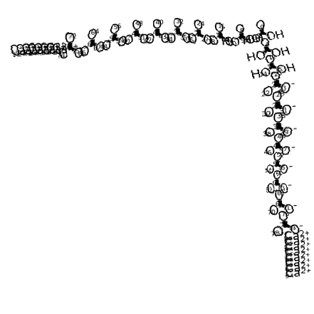 O=C(O)O.O=C(O)O.O=C(O)O.O=C(O)O.O=C([O-])[O-].O=C([O-])[O-].O=C([O-])[O-].O=C([O-])[O-].O=C([O-])[O-].O=C([O-])[O-].O=C([O-])[O-].O=C([O-])[O-].O=C([O-])[O-].O=C([O-])[O-].O=C([O-])[O-].O=C([O-])[O-].O=C([O-])[O-].O=C([O-])[O-].O=C([O-])[O-].O=C([O-])[O-].[Ca+2].[Ca+2].[Ca+2].[Ca+2].[Ca+2].[Ca+2].[Ca+2].[Ca+2].[Ca+2].[Ca+2].[Ca+2].[Ca+2].[Ca+2].[Ca+2].[Ca+2].[Ca+2]